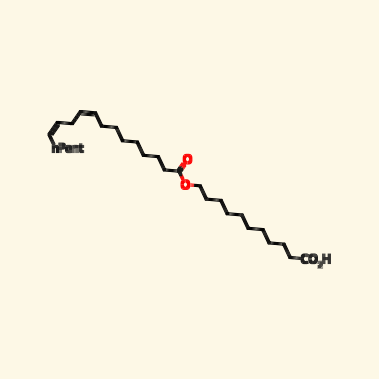 CCCCC/C=C\C/C=C\CCCCCCCC(=O)OCCCCCCCCCCC(=O)O